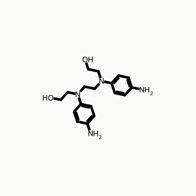 Nc1ccc(N(CCO)CCN(CCO)c2ccc(N)cc2)cc1